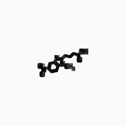 Cn1c(CCCC(=O)O)nc2cc([N+](=O)[O-])ccc21